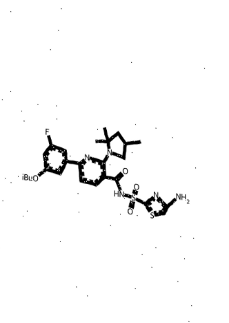 CC(C)COc1cc(F)cc(-c2ccc(C(=O)NS(=O)(=O)c3nc(N)cs3)c(N3CC(C)CC3(C)C)n2)c1